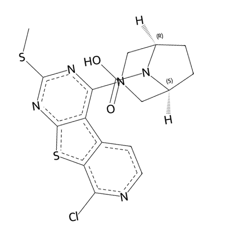 CSc1nc(N2C[C@H]3CC[C@@H](C2)N3C(=O)O)c2c(n1)sc1c(Cl)nccc12